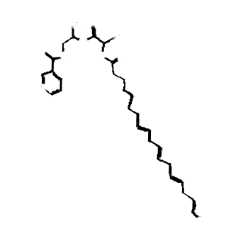 CCC=CCC=CCC=CCC=CCC=CCCCC(=O)NC(C(=O)OC(C)CNC(=O)c1cccnc1)C(C)C